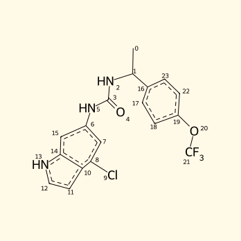 CC(NC(=O)Nc1cc(Cl)c2cc[nH]c2c1)c1ccc(OC(F)(F)F)cc1